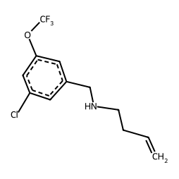 C=CCCNCc1cc(Cl)cc(OC(F)(F)F)c1